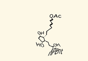 CCCCC[C@H](O)CC[C@@H]1[C@@H](CCC/C=C/C=C/OC(C)=O)[C@@H](O)C[C@H]1O